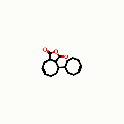 O=C1OC(=O)C2C1CC=CCCC2C1CCC=CCCC1